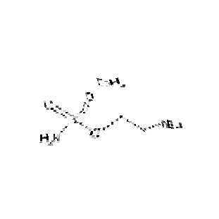 CCCCCCOS(N)(=O)=O.[CaH2]